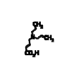 C=CCN(CC=C)CC=CC(=O)O